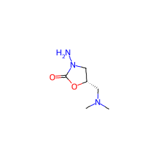 CN(C)C[C@H]1CN(N)C(=O)O1